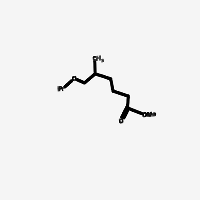 COC(=O)CCCC(C)COC(C)C